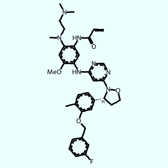 C=CC(=O)Nc1cc(Nc2cc(N3OCC[C@@H]3c3ccc(C)c(OCc4cccc(F)c4)c3)ncn2)c(OC)cc1N(C)CCN(C)C